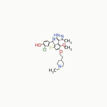 CCN1CCC(CCOc2cc(F)c3c(-c4ccc(O)c(Cl)c4)nc4[nH]nc(C)c4c3c2OC)CC1